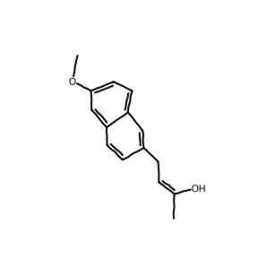 COc1ccc2cc(CC=C(C)O)ccc2c1